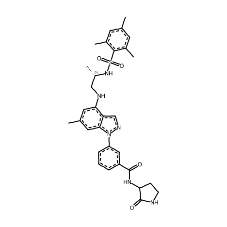 Cc1cc(C)c(S(=O)(=O)N[C@@H](C)CNc2cc(C)cc3c2cnn3-c2cccc(C(=O)NC3CCNC3=O)c2)c(C)c1